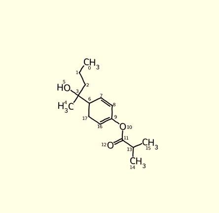 CCCC(C)(O)C1C=CC(OC(=O)C(C)C)=CC1